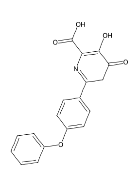 O=C(O)C1=C(O)C(=O)CC(c2ccc(Oc3ccccc3)cc2)=N1